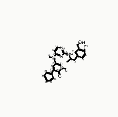 CC(Cc1ccc(F)c(CO)c1)Nc1nccc(N(C)c2cc(-c3ccccc3)c(=O)n(C)c2)n1